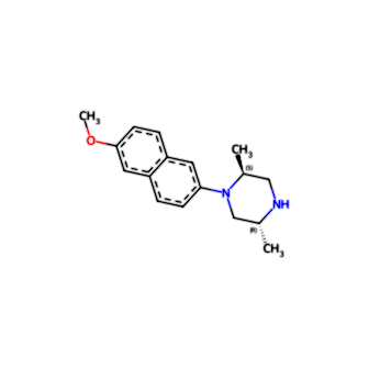 COc1ccc2cc(N3C[C@@H](C)NC[C@@H]3C)ccc2c1